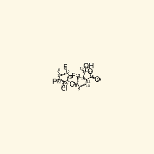 Cc1c(F)c(F)c(Oc2ccc3c(c2)C(C)(O)OC3=O)c(Cl)c1F